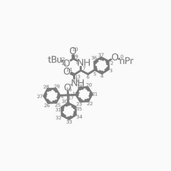 CCCOc1ccc(CC(NC(=O)OC(C)(C)C)C(=O)NOC(c2ccccc2)(c2ccccc2)c2ccccc2)cc1